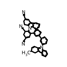 CC1C=Cc2c(c3ccccc3n2-c2cccc(-c3cccc(C4=C(n5c6c(c7ccccc75)C=C(C#N)CC6)C(C#N)CC(C#N)=C4)c3)c2)C1